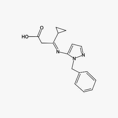 O=C(O)CC(=Nc1ccnn1Cc1ccccc1)C1CC1